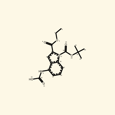 CCOC(=O)c1cc2c(NC(=O)O)cccc2n1C(=O)OC(C)(C)C